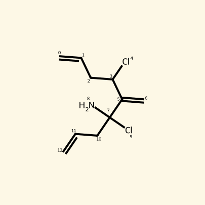 C=CCC(Cl)C(=C)C(N)(Cl)CC=C